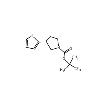 CC(C)(C)OC(=O)N1CC[C@@H](c2cccs2)C1